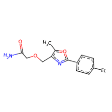 CCc1ccc(-c2nc(COCC(N)=O)c(C)o2)cc1